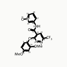 COc1ccc(Oc2nnc(C(F)(F)F)cc2C(=O)Nc2ccc[n+]([O-])c2)c(OC)c1